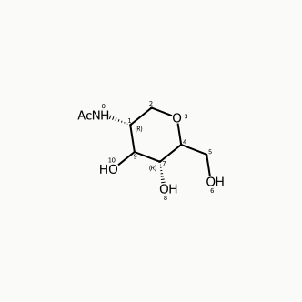 CC(=O)N[C@@H]1COC(CO)[C@H](O)C1O